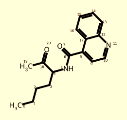 CCCCC(NC(=O)c1ccnc2ccccc12)C(C)=O